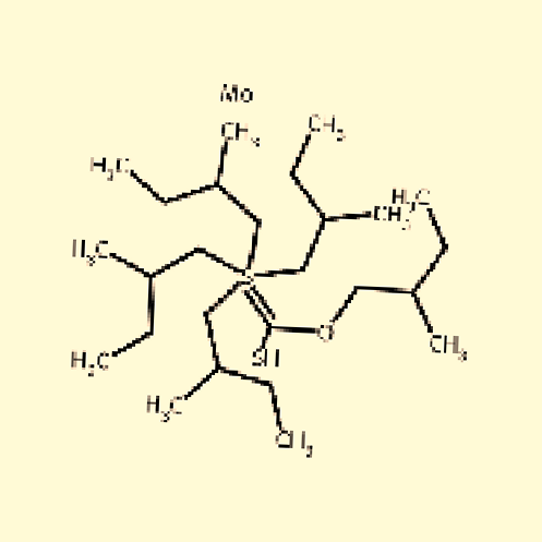 CCC(C)COC(S)=S(CC(C)CC)(CC(C)CC)(CC(C)CC)CC(C)CC.[Mo]